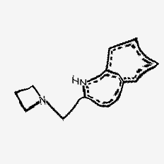 [CH](c1cc2ccccc2[nH]1)N1CCC1